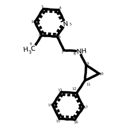 Cc1cccnc1CNC1CC1c1ccccc1